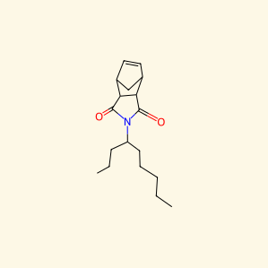 CCCCCC(CCC)N1C(=O)C2C3C=CC(C3)C2C1=O